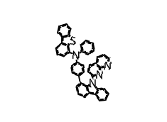 c1ccc(N(c2ccc(-c3cccc4c5ccccc5n(-c5ccc6cccnc6n5)c34)cc2)c2cccc3c2sc2ccccc23)cc1